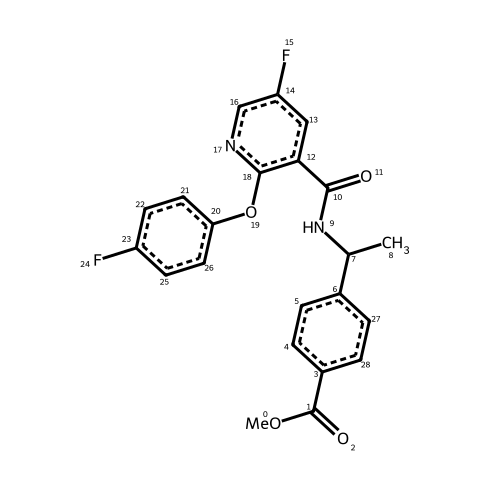 COC(=O)c1ccc(C(C)NC(=O)c2cc(F)cnc2Oc2ccc(F)cc2)cc1